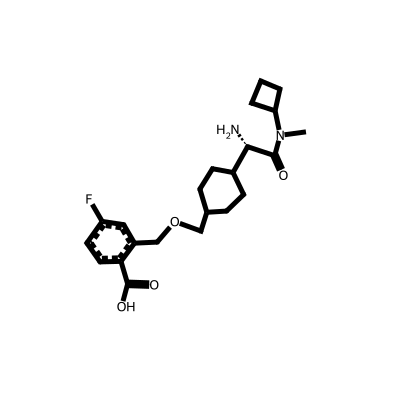 CN(C(=O)[C@@H](N)C1CCC(COCc2cc(F)ccc2C(=O)O)CC1)C1CCC1